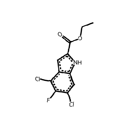 CCOC(=O)c1cc2c(Cl)c(F)c(Cl)cc2[nH]1